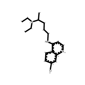 CCN(CC)C(C)CCCNc1ccnc2cc(Cl)ccc12